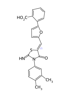 Cc1ccc(N2C(=N)S/C(=C\c3ccc(-c4ccccc4C(=O)O)o3)C2=O)cc1C